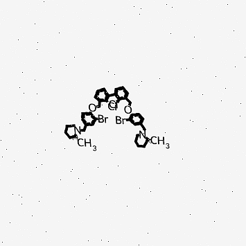 C[C@@H]1CCCCN1Cc1ccc(OCc2cccc(-c3cccc(COc4ccc(CN5CCCC[C@H]5C)cc4Br)c3Cl)c2Cl)c(Br)c1